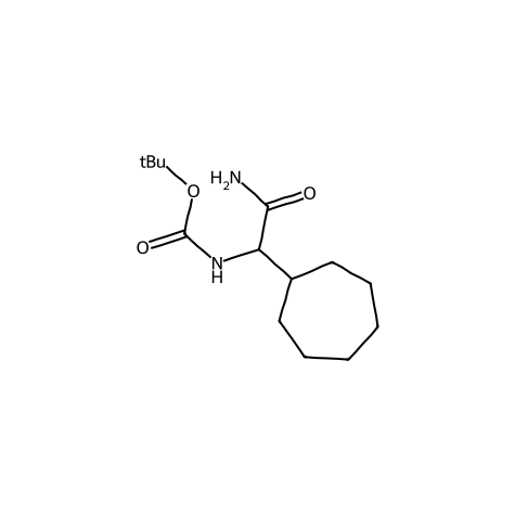 CC(C)(C)OC(=O)NC(C(N)=O)C1CCCCCC1